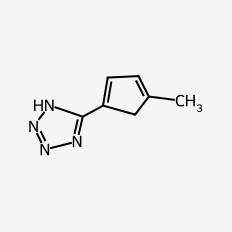 CC1=CC=C(c2nnn[nH]2)C1